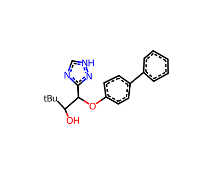 CC(C)(C)C(O)C(Oc1ccc(-c2ccccc2)cc1)c1nc[nH]n1